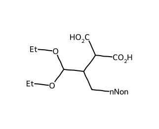 CCCCCCCCCCC(C(OCC)OCC)C(C(=O)O)C(=O)O